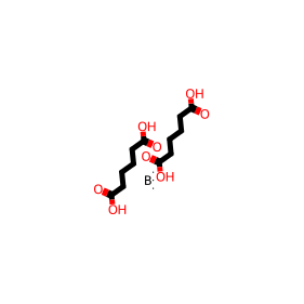 O=C(O)CCCCC(=O)O.O=C(O)CCCCC(=O)O.[B]